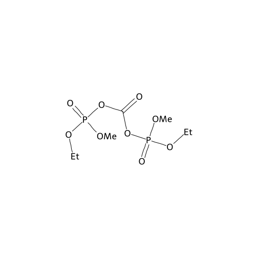 CCOP(=O)(OC)OC(=O)OP(=O)(OC)OCC